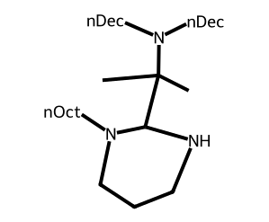 CCCCCCCCCCN(CCCCCCCCCC)C(C)(C)C1NCCCN1CCCCCCCC